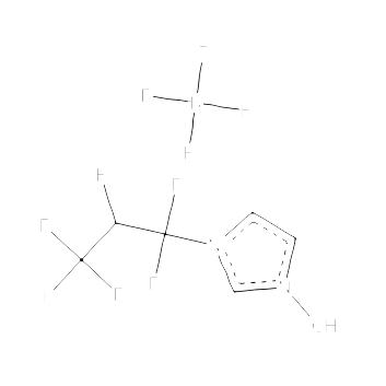 Cn1cc[n+](C(F)(F)C(F)C(F)(F)F)c1.F[B-](F)(F)F